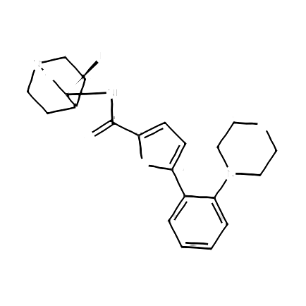 O=C(N[C@H]1CN2CCC1CC2)c1ccc(-c2ccccc2N2CCOCC2)o1